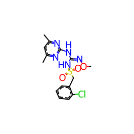 CON=C(Nc1nc(C)cc(C)n1)NS(=O)(=O)Cc1ccccc1Cl